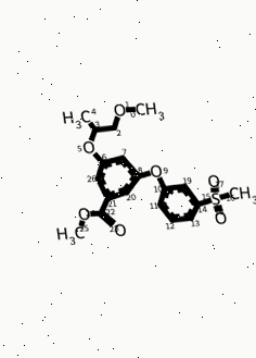 COCC(C)Oc1cc(Oc2cccc(S(C)(=O)=O)c2)cc(C(=O)OC)c1